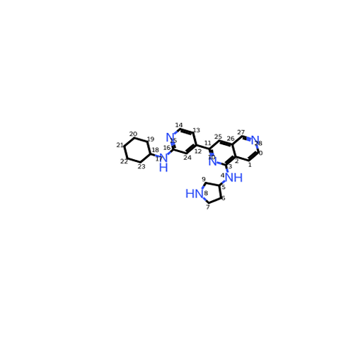 c1cc2c(NC3CCNC3)nc(-c3ccnc(NC4CCCCC4)c3)cc2cn1